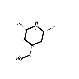 C[C@@H]1C[C@H](CO)C[C@H](C)N1